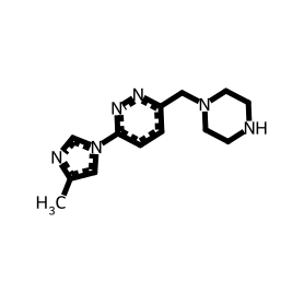 Cc1cn(-c2ccc(CN3CCNCC3)nn2)cn1